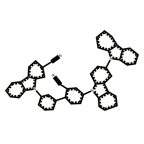 N#Cc1ccc2c3ccccc3n(-c3cccc(-c4ccc(-n5c6ccccc6c6cc(-n7c8ccccc8c8ccccc87)ccc65)cc4C#N)c3)c2c1